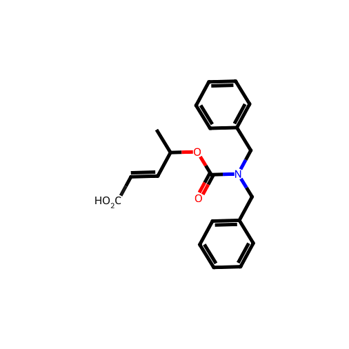 CC(C=CC(=O)O)OC(=O)N(Cc1ccccc1)Cc1ccccc1